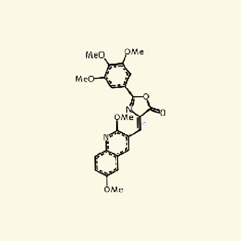 COc1ccc2nc(OC)c(/C=C3\N=C(c4cc(OC)c(OC)c(OC)c4)OC3=O)cc2c1